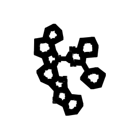 c1ccc(-c2nc(-n3c4c5ccccc5ccc4c4ccc5c6sc7ccccc7c6sc5c43)nc3ccccc23)cc1